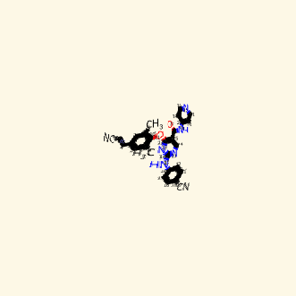 Cc1cc(/C=C/C#N)cc(C)c1Oc1nc(Nc2ccc(C#N)cc2)ncc1C(=O)Nc1ccncc1